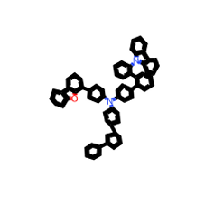 c1ccc(-c2cccc(-c3ccc(N(c4ccc(-c5ccccc5-c5ccccc5-n5c6ccccc6c6ccccc65)cc4)c4ccc(-c5cccc6c5oc5ccccc56)cc4)cc3)c2)cc1